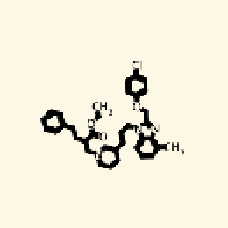 CCOC(=O)C(CCc1ccccc1)CN1CCCC(CCCn2c(COc3ccc(Cl)cc3)nc3c(C)cccc32)C1